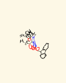 CC(O)C(CO[Si](C)(C)C(C)(C)C)NC(=O)OCC1c2ccccc2-c2ccccc21